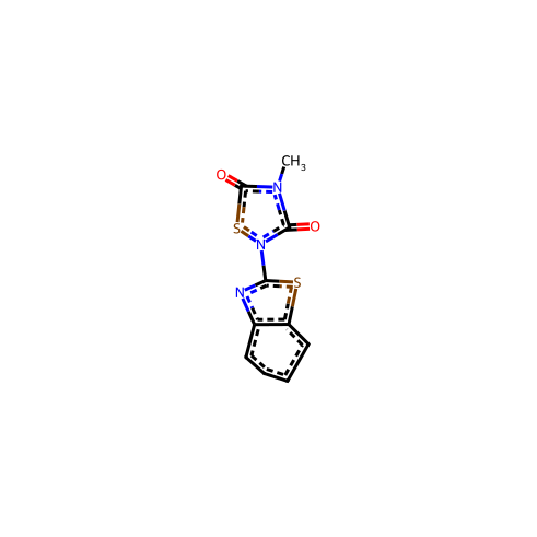 Cn1c(=O)sn(-c2nc3ccccc3s2)c1=O